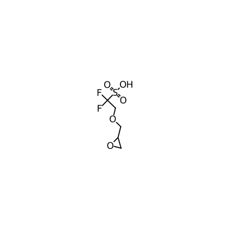 O=S(=O)(O)C(F)(F)COCC1CO1